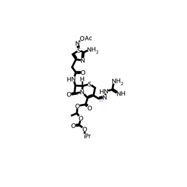 CC(=O)ON=S1C=C(CC(=O)NC2C(=O)N3C(C(=O)OC(C)OC(=O)OC(C)C)=C(/C=N\NC(=N)N)CS[C@@H]23)N=C1N